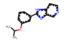 CC(C)Oc1cccc(-c2nc3cnccc3[nH]2)c1